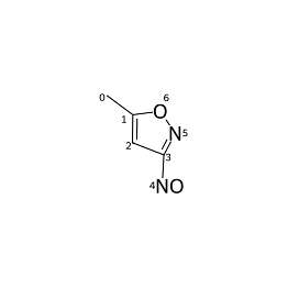 Cc1cc(N=O)no1